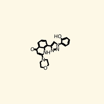 O=c1cc(N2CCOCC2)[nH]c2c(-c3cn(-c4ccccc4O)nn3)cccc12